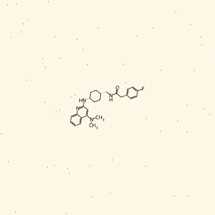 CN(C)c1cc(N[C@H]2CC[C@@H](CNC(=O)Cc3ccc(F)cc3)CC2)nc2ccccc12